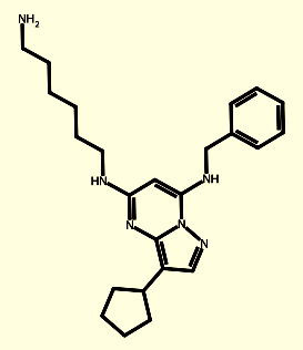 NCCCCCCNc1cc(NCc2ccccc2)n2ncc(C3CCCC3)c2n1